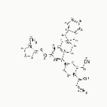 C=CC(=O)N1CCN(c2nc(OCC3CCCN3C)nc3c2CCC2(Cc4ccccc4C2)C3)CC1CC#N